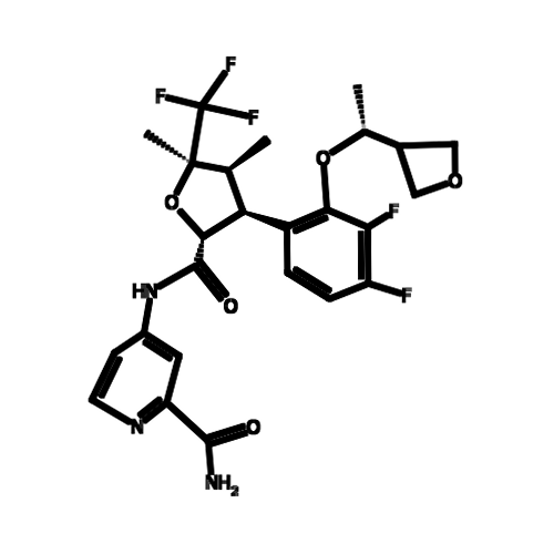 C[C@@H](Oc1c([C@H]2[C@H](C(=O)Nc3ccnc(C(N)=O)c3)O[C@@](C)(C(F)(F)F)[C@H]2C)ccc(F)c1F)C1COC1